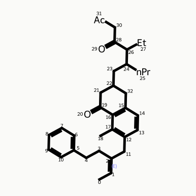 C/C=C(\CCc1ccccc1)Cc1ccc2c(c1C)C(=O)CC(CC(CCC)C(CC)C(=O)CC(C)=O)C2